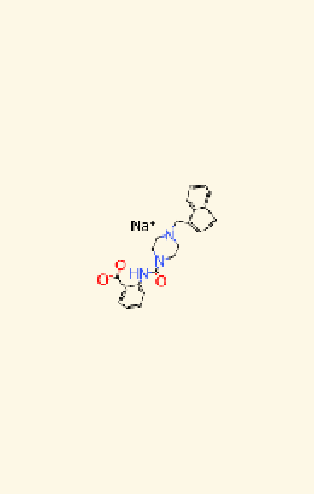 O=C([O-])c1ccccc1NC(=O)N1CCN(Cc2cccc3ccccc23)CC1.[Na+]